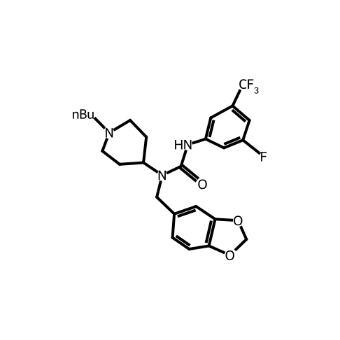 CCCCN1CCC(N(Cc2ccc3c(c2)OCO3)C(=O)Nc2cc(F)cc(C(F)(F)F)c2)CC1